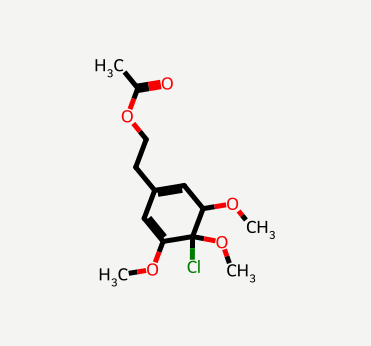 COC1=CC(CCOC(C)=O)=CC(OC)C1(Cl)OC